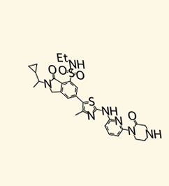 CCNS(=O)(=O)c1cc(-c2sc(Nc3cccc(N4CCNCC4=O)n3)nc2C)cc2c1C(=O)N(C(C)C1CC1)C2